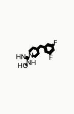 N=C(NO)N1CCC(Cc2cc(F)cc(F)c2)CC1